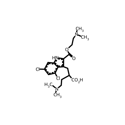 CN(C)CCOC(=O)c1[nH]c2cc(Cl)cc(Cl)c2c1CC(CCN(C)C)C(=O)O